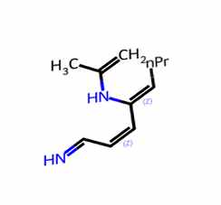 C=C(C)NC(/C=C\C=N)=C\CCC